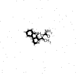 CC(OC(N)=O)c1nccc2c1[nH]c1ccccc12